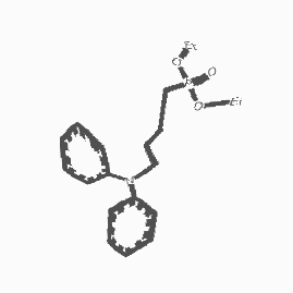 CCOP(=O)(CCCCN(c1ccccc1)c1ccccc1)OCC